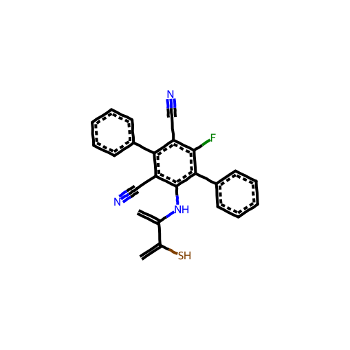 C=C(S)C(=C)Nc1c(C#N)c(-c2ccccc2)c(C#N)c(F)c1-c1ccccc1